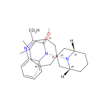 C[C@@H]1C[C@H](N2[C@@H]3CCC[C@H]2C[C@@H](n2c(=O)c(C(=O)O)nc4ccccc42)C3)C[C@H](C)CC(C)(C)C1